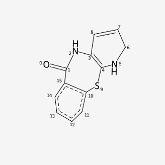 O=C1NC2=C(NCC=C2)Sc2ccccc21